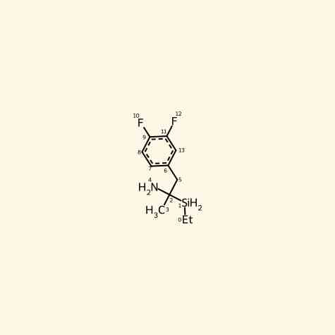 CC[SiH2]C(C)(N)Cc1ccc(F)c(F)c1